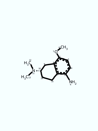 COc1ccc(N)c2c1C[C@@H](N(C)C)CC2